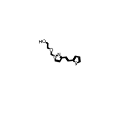 OCCOCn1ccc(/C=C/c2cccs2)n1